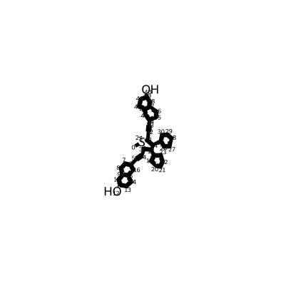 CS1(C)C(C#Cc2ccc3cc(O)ccc3c2)=C(c2ccccc2)C(c2ccccc2)=C1C#Cc1ccc2cc(O)ccc2c1